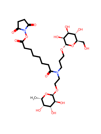 C[C@@H]1O[C@@H](OCCN(CCCO[C@H]2O[C@H](CO)[C@@H](O)[C@H](O)[C@@H]2O)C(=O)CCCCCCC(=O)ON2C(=O)CCC2=O)[C@@H](O)[C@H](O)[C@@H]1O